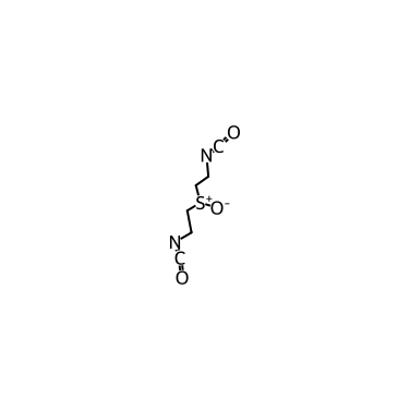 O=C=NCC[S+]([O-])CCN=C=O